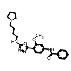 COc1cc(NC(=O)c2ccccc2)ccc1-c1nnc(NCCCCN2CCCC2)o1